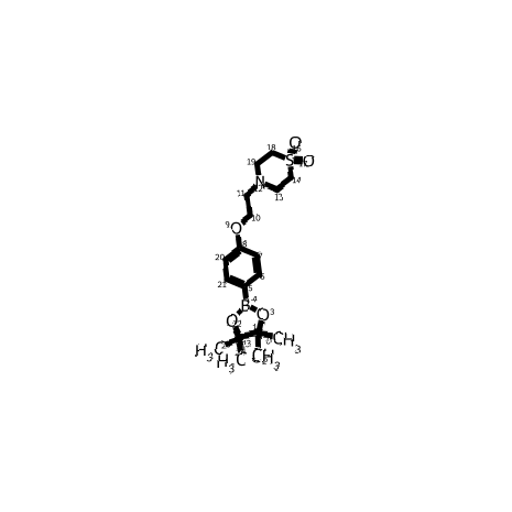 CC1(C)OB(c2ccc(OCCN3CCS(=O)(=O)CC3)cc2)OC1(C)C